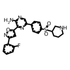 Nc1ncc(-c2ccc(S(=O)(=O)C3CCCNC3)cc2)nc1-c1cc(-c2ccccc2F)no1